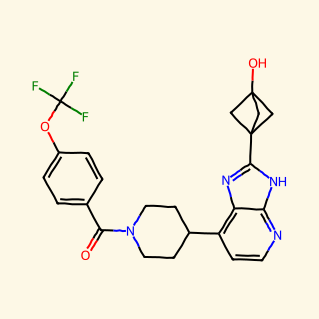 O=C(c1ccc(OC(F)(F)F)cc1)N1CCC(c2ccnc3[nH]c(C45CC(O)(C4)C5)nc23)CC1